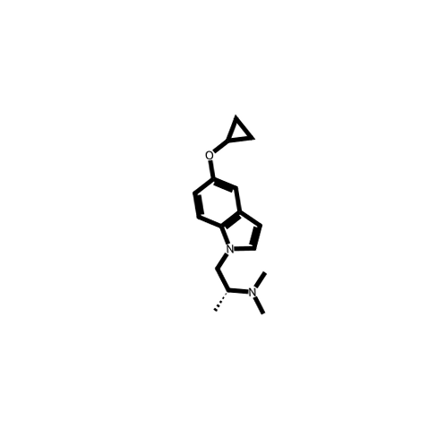 C[C@H](Cn1ccc2cc(OC3CC3)ccc21)N(C)C